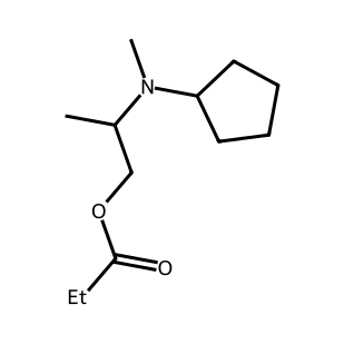 CCC(=O)OCC(C)N(C)C1CCCC1